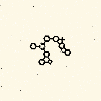 CC1(C)C2=C(CC(C3=CCCC(c4nc(-c5ccccc5)nc(-c5ccc6c(c5)-c5ccccc5C5CCC65)n4)=C3)C=C2)c2cc3oc4ccccc4c3cc21